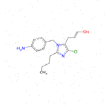 CCCCc1nc(Cl)c(CC=CO)n1Cc1ccc(N)cc1